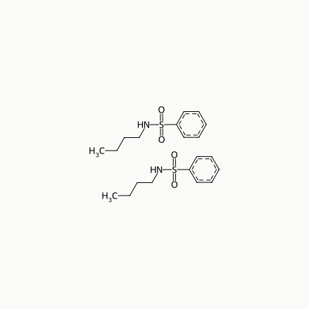 CCCCNS(=O)(=O)c1ccccc1.CCCCNS(=O)(=O)c1ccccc1